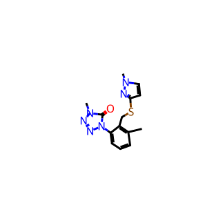 Cc1cccc(-n2nnn(C)c2=O)c1CSc1ccn(C)n1